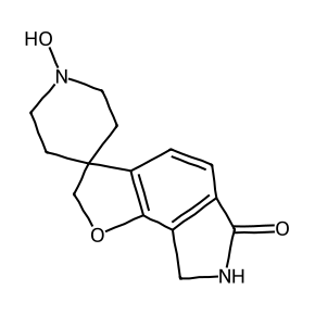 O=C1NCc2c1ccc1c2OCC12CCN(O)CC2